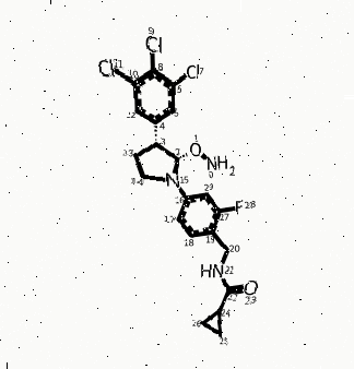 NO[C@H]1[C@@H](c2cc(Cl)c(Cl)c(Cl)c2)CCN1c1ccc(CNC(=O)C2CC2)c(F)c1